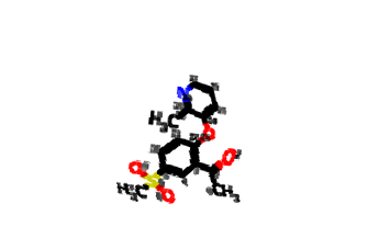 CC(=O)c1cc(S(C)(=O)=O)ccc1Oc1cccnc1C